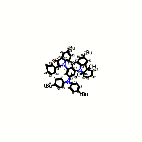 CC(C)(C)c1ccc(N(c2ccc(C(C)(C)C)cc2)c2cc3c4c(c2)-n2c5c(cc(C(C)(C)C)cc5c5sc6ccccc6c52)B4c2cc(C(C)(C)C)cc4c2N3C2(C)CCCCC42C)cc1